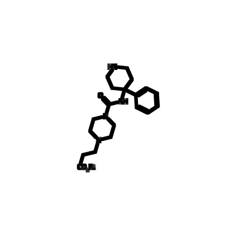 CCOC(=O)CCN1CCN(C(=O)NC2(c3ccccc3)CCNCC2)CC1